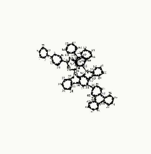 c1ccc(-c2ccc(-c3nc(-c4ccccc4)nc(-n4c5ccccc5c5cc(-c6ccc7c8ccccc8c8ccccc8c7c6)c6c7ccccc7n(-c7ccc(-c8ccccc8)cc7)c6c54)n3)cc2)cc1